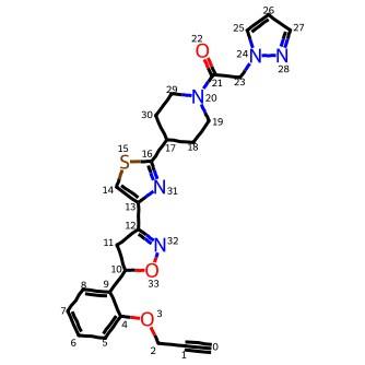 C#CCOc1ccccc1C1CC(c2csc(C3CCN(C(=O)Cn4cccn4)CC3)n2)=NO1